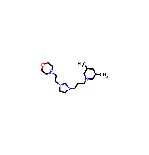 CC1CC(C)CN(CCCN2CCN(CCN3CCOCC3)C2)C1